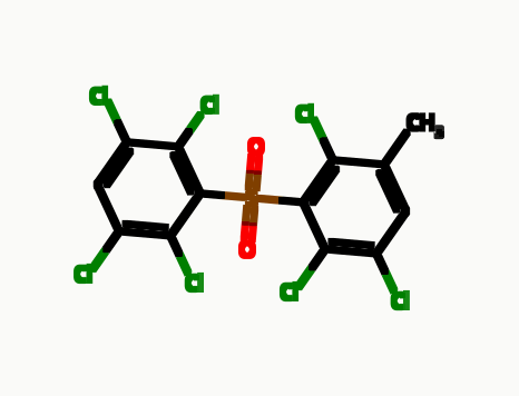 Cc1cc(Cl)c(Cl)c(S(=O)(=O)c2c(Cl)c(Cl)cc(Cl)c2Cl)c1Cl